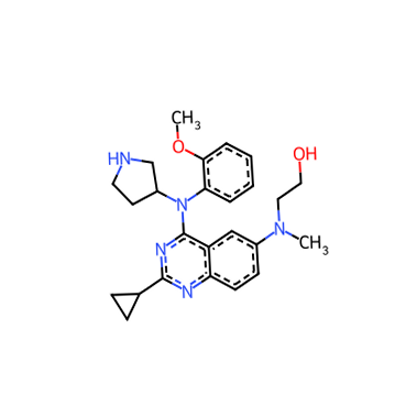 COc1ccccc1N(c1nc(C2CC2)nc2ccc(N(C)CCO)cc12)C1CCNC1